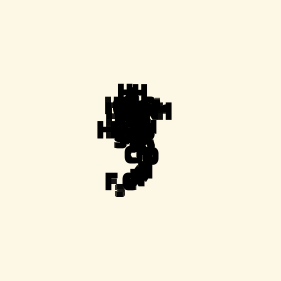 C=C[C@@H]1C[C@]1(NC(=O)[C@@H]1CC(Oc2cc(-c3csc(NC(C)C)n3)nc3c(Cl)c(OCCN4CCN(CC(F)(F)F)CC4)ccc23)CN1C(=O)[C@@H](NC(=O)O[C@@H]1C[C@@H]2C[C@@H]2C1)C(C)(C)C)C(=O)O